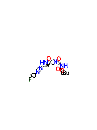 CC(C)(C)OC(=O)NC(C)(C)C(=O)N1CCC2(CC1)C[C@H](CCN1CCN(c3ccc(F)cc3)CC1)NC2=O